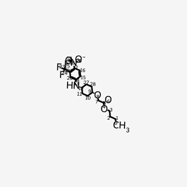 CCCCOC(=O)CO[C@H]1CC[C@H](Nc2ccc([N+](=O)[O-])c(C(F)(F)F)c2)CC1